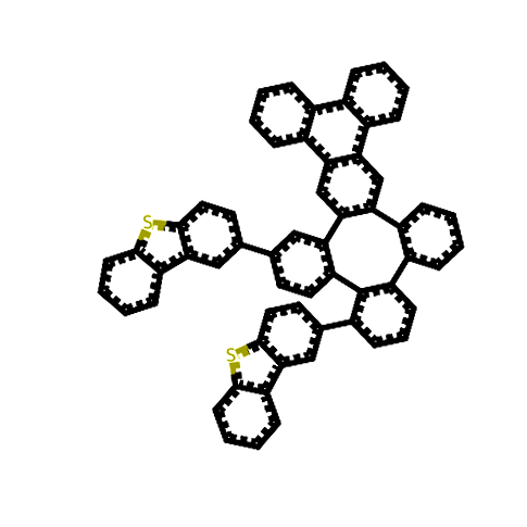 c1ccc2c(c1)-c1cc3c4ccccc4c4ccccc4c3cc1-c1cc(-c3ccc4sc5ccccc5c4c3)ccc1-c1c(-c3ccc4sc5ccccc5c4c3)cccc1-2